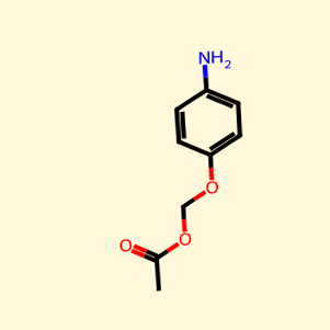 CC(=O)OCOc1ccc(N)cc1